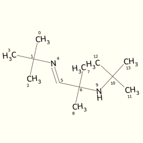 CC(C)(C)N=CC(C)(C)NC(C)(C)C